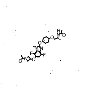 CC(=O)N[C@@H](C)CO[C@H]1CC[C@H](Oc2nc3c(F)cc(OC4CN(C(C)=O)C4)c(F)c3n2C)CC1